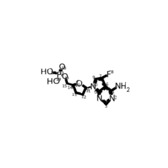 Nc1ncnc2c1c(F)cn2[C@H]1CCC(COP(=O)(O)O)O1